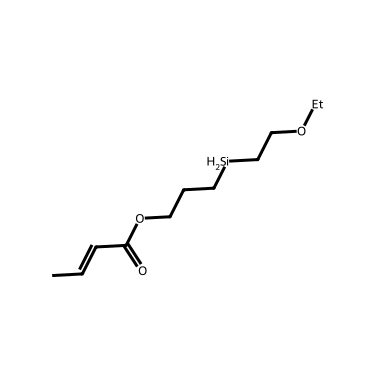 CC=CC(=O)OCCC[SiH2]CCOCC